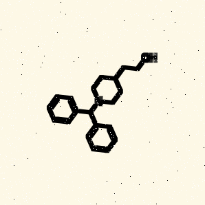 OCCC1CCN(C(c2ccccc2)c2ccccc2)CC1